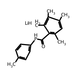 Cc1ccc(PC(=O)c2c(C)cc(C)c(C)c2C)cc1.[LiH]